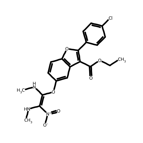 CCOC(=O)c1c(-c2ccc(Cl)cc2)oc2ccc(O/C(NC)=C(/NC)[N+](=O)[O-])cc12